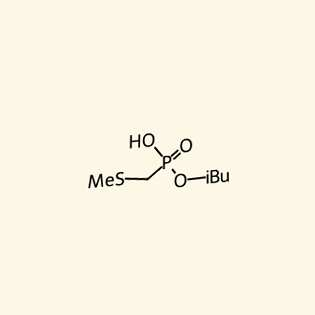 CCC(C)OP(=O)(O)CSC